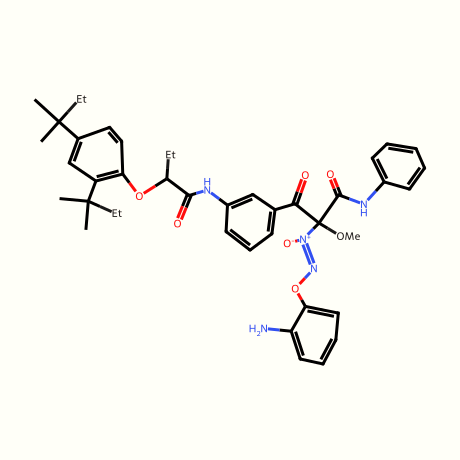 CCC(Oc1ccc(C(C)(C)CC)cc1C(C)(C)CC)C(=O)Nc1cccc(C(=O)C(OC)(C(=O)Nc2ccccc2)[N+]([O-])=NOc2ccccc2N)c1